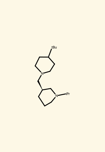 CC(C)N1CCC[C@@H](CN2CCC(C(C)(C)C)CC2)C1